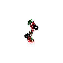 O=C(OCC1CSC(C2CC3CCCC(OC(=O)C(F)(F)S(=O)(=O)O)(C3)C2)S1)C12CCCC(CC(C3OCC(F)(F)C(F)(F)CO3)C1)C2